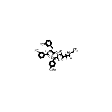 COc1ccc([C@H](NC(=O)[C@H](Cc2cccc(C#N)c2)NC(=O)c2cccc(C#N)c2)C(=O)N[C@H](C(=O)C(F)(F)C(=O)NCC(F)(F)F)C(C)C)cc1